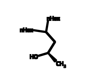 CCCCCCC(CCCCCC)C[C@@H](C)O